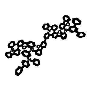 c1ccc(-c2ccc(N(c3ccccc3)c3cccc(N(c4cccc5c4oc4cc(-c6ccc7c(c6)-c6ccc8c(oc9c(N(c%10cc(-c%11ccccc%11)cc(-c%11ccccc%11)c%10)c%10cccc%11c%10oc%10ccccc%10%11)cccc98)c6-c6cccc8c9ccccc9n-7c68)ccc45)c4cccc5c4oc4c6c(ccc45)-c4ccccc4-n4c5ccccc5c5cccc-6c54)c3)cc2)cc1